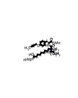 CC#CCOc1ccc(C[C@H](NC(=O)[C@@](C)(/C=C/CCCCCCC(O)CCCCCCC)[C@](O)(C(N)=O)C(=O)O)C(=O)OC)cc1